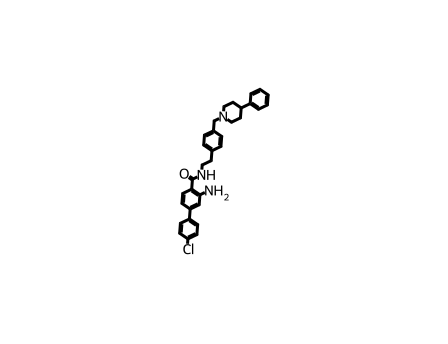 Nc1cc(-c2ccc(Cl)cc2)ccc1C(=O)NCCc1ccc(CN2CCC(c3ccccc3)CC2)cc1